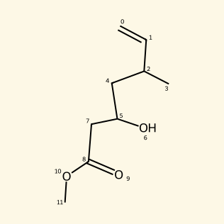 C=CC(C)CC(O)CC(=O)OC